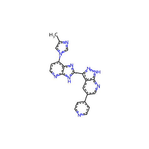 Cc1cn(-c2ccnc3[nH]c(-c4n[nH]c5ncc(-c6ccncc6)cc45)nc23)cn1